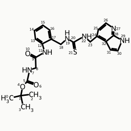 CC(C)(C)OC(=O)NCC(=O)Nc1ccccc1CNC(=S)NCc1ccnc2[nH]ccc12